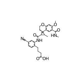 CNC(=O)c1cc2c(cc1OC)OCC[C@]21C(C)C1C(=O)Nc1cc(C#N)ccc1CCCC(=O)O